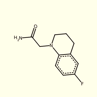 NC(=O)CN1CCCc2cc(F)ccc21